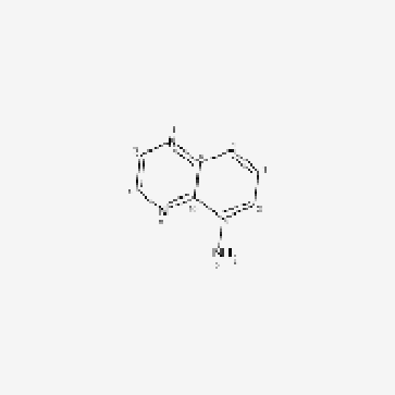 Nc1cccc2n[c]cnc12